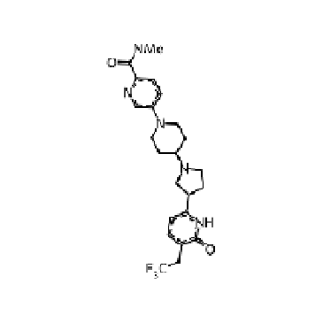 CNC(=O)c1ccc(N2CCC(N3CCC(c4ccc(CC(F)(F)F)c(=O)[nH]4)C3)CC2)cn1